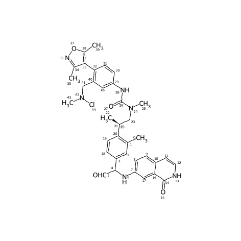 Cc1cc(C(C=O)Nc2ccc3cc[nH]c(=O)c3c2)ccc1[C@@H](C)CN(C)C(=O)Nc1ccc(-c2c(C)noc2C)c(CN(C)Cl)c1